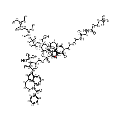 CC(=O)N1CCC[C@@H]1CO[P@@](=S)(OC[C@H]1O[C@@H](n2cc3c4c(ncnc42)N(C(=O)c2ccccc2)CCC3)[C@@H](F)[C@@H]1P(=O)(O)O)O[C@@H]1[C@H](O[Si](C)(C)C(C)(C)C)[C@@H](CO)O[C@H]1n1cnc2c(=O)n(CCOCNC(=O)CNC(=O)OCC[Si](C)(C)C)cnc21.CCN(CC)CC.CCN(CC)CC